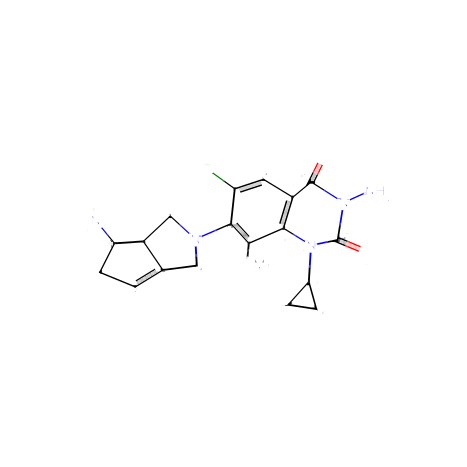 COc1c(N2CC3=CCC(N)C3C2)c(F)cc2c(=O)n(N)c(=O)n(C3CC3)c12